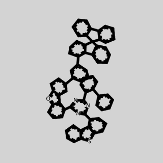 c1ccc(-c2ccccc2-c2nc(-c3cccc4oc5ccc(-c6cccc(-c7cccc8c7-c7ccccc7C87c8ccccc8-c8ccccc87)c6)cc5c34)nc(-c3cccc4sc5ccccc5c34)n2)cc1